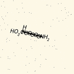 NCCOCCOCCOCCOCCOCCNC(=O)O